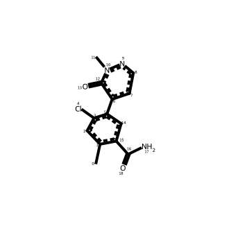 Cc1cc(Cl)c(-c2ccnn(C)c2=O)cc1C(N)=O